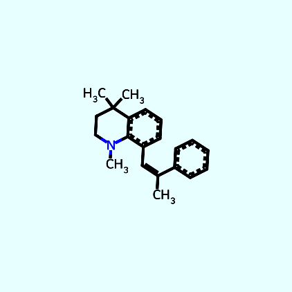 CC(=Cc1cccc2c1N(C)CCC2(C)C)c1ccccc1